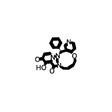 O=C1c2c(O)c(=O)ccn2N2CN1C/C=C\COc1ccncc1[C@H]2c1ccccc1